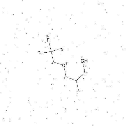 CC(CO)COCC(C)(C)F